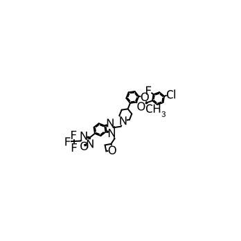 CC1(c2ccc(Cl)cc2F)Oc2cccc(C3CCN(Cc4nc5ccc(-c6noc(C(F)(F)F)n6)cc5n4CC4CCO4)CC3)c2O1